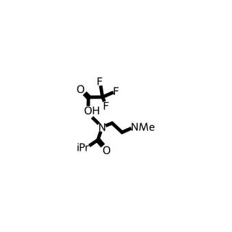 CNCCN(C)C(=O)C(C)C.O=C(O)C(F)(F)F